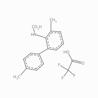 Cc1ccc(-c2cccc(C)c2NC(=O)O)cc1.O=C(O)C(F)(F)F